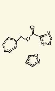 O=C(OCc1ccccc1)c1nccs1.c1cnoc1